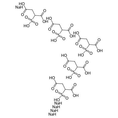 O=C(O)CC(C(=O)O)S(=O)(=O)O.O=C(O)CC(C(=O)O)S(=O)(=O)O.O=C(O)CC(C(=O)O)S(=O)(=O)O.O=C(O)CC(C(=O)O)S(=O)(=O)O.O=C(O)CC(C(=O)O)S(=O)(=O)O.[NaH].[NaH].[NaH].[NaH].[NaH]